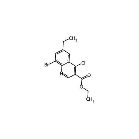 CCOC(=O)c1cnc2c(Br)cc(CC)cc2c1Cl